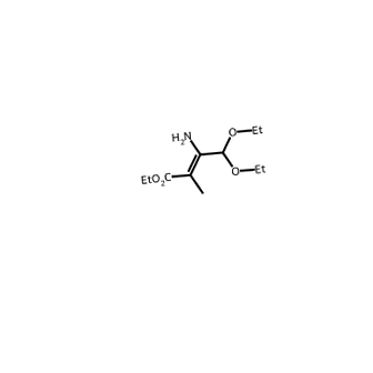 CCOC(=O)C(C)=C(N)C(OCC)OCC